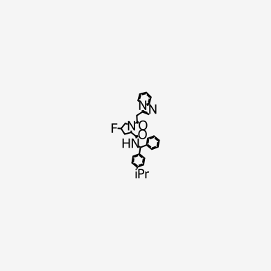 CC(C)c1ccc(C(NC(=O)C2CC(F)CN2C(=O)Cc2cnc3ccccn23)c2ccccc2)cc1